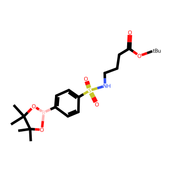 CC(C)(C)OC(=O)CCCNS(=O)(=O)c1ccc(B2OC(C)(C)C(C)(C)O2)cc1